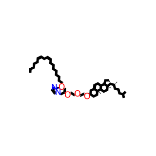 CCCCC/C=C\C/C=C\CCCCCCCCOCC(Cn1ccnc1)OCCOCCO[C@H]1CC[C@@]2(C)C(=CCC3C2CC[C@@]2(C)C3CC[C@@H]2[C@H](C)CCCC(C)C)C1